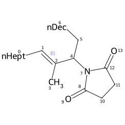 CCCCCCC/C=C(\C)C(CCCCCCCCCCC)N1C(=O)CCC1=O